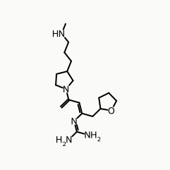 C=C(/C=C(/CC1CCCO1)N=C(N)N)N1CCC(CCCNC)C1